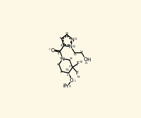 CC(C)O[C@H]1CCN(C(=O)c2ccnn2CCO)CC1(F)F